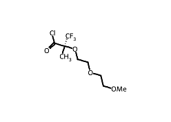 COCCOCCO[C@@](C)(C(=O)Cl)C(F)(F)F